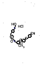 Cc1cc(/C=C/C(=O)N2CCN(Cc3ccc(/C=C/CO)cc3)CC2)cc(Cl)c1Oc1ccc(OCc2ccc(C#N)cc2)cn1.Cl